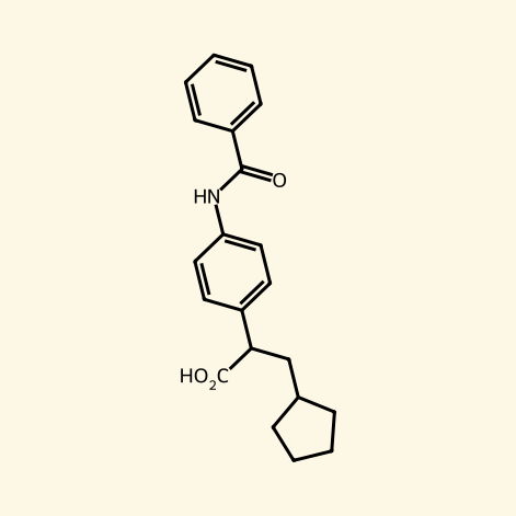 O=C(Nc1ccc(C(CC2CCCC2)C(=O)O)cc1)c1ccccc1